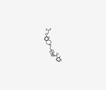 Cc1ncccc1C(=O)NC12CCC(CCN3CCc4ccc(OCC(F)F)nc4CC3)(CC1)CC2